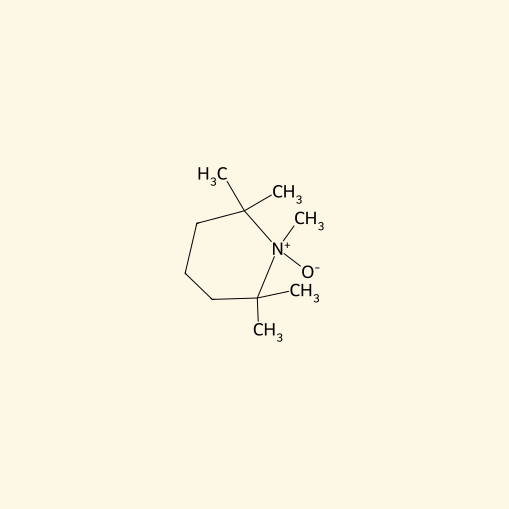 CC1(C)CCCC(C)(C)[N+]1(C)[O-]